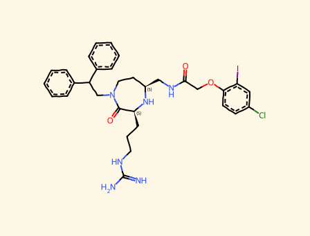 N=C(N)NCCC[C@@H]1N[C@H](CNC(=O)COc2ccc(Cl)cc2I)CCN(CC(c2ccccc2)c2ccccc2)C1=O